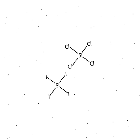 Cl[Si](Cl)(Cl)Cl.I[Si](I)(I)I